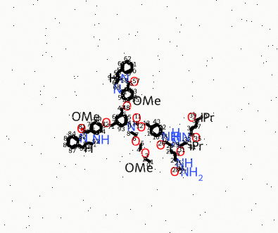 COCCOCCOCCN(C(=O)OCc1ccc(NC(=O)[C@H](CCCNC(N)=O)NC(=O)[C@@H](NC(=O)CCC(=O)C(C)C)C(C)C)cc1)c1cc(COc2cc3c(cc2OC)C(=O)N2c4ccccc4C[C@H]2C=N3)cc(COc2cc3c(cc2OC)C(=O)N2c4ccccc4C[C@H]2CN3)c1